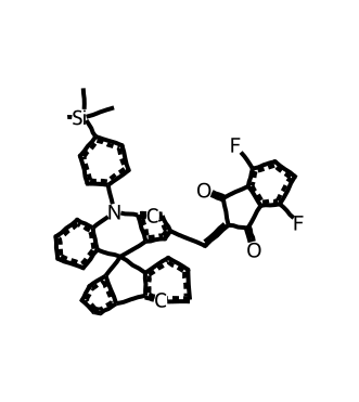 C[Si](C)(C)c1ccc(N2c3ccccc3C3(c4ccccc4-c4ccccc43)c3cc(C=C4C(=O)c5c(F)ccc(F)c5C4=O)ccc32)cc1